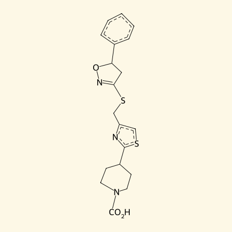 O=C(O)N1CCC(c2nc(CSC3=NOC(c4ccccc4)C3)cs2)CC1